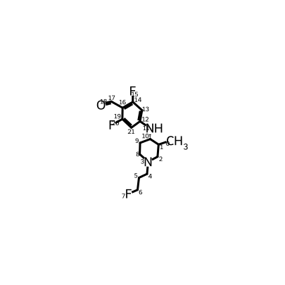 CC1CN(CCCF)CC[C@@H]1Nc1cc(F)c(C=O)c(F)c1